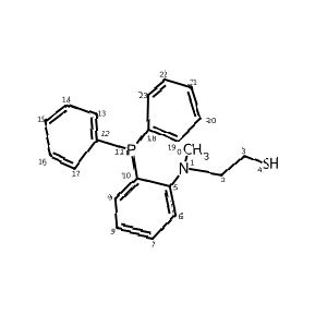 CN(CCS)c1ccccc1P(c1ccccc1)c1ccccc1